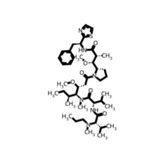 CCCN(C)[C@H](C(=O)N[C@H](C(=O)N(C)[C@@H]([C@@H](C)CC)[C@@H](CC(=O)N1CCC[C@H]1[C@H](OC)[C@@H](C)C(=O)N[C@@H](Cc1ccccc1)c1nccs1)OC)C(C)C)C(C)C